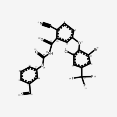 N#Cc1ccc(Oc2c(Cl)cc(C(F)(F)F)cc2Br)cc1C(=O)NC(=O)Oc1cccc(C=S)c1